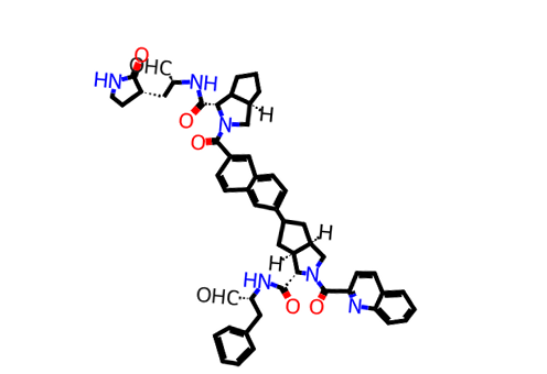 O=C[C@@H](C[C@@H]1CCNC1=O)NC(=O)[C@@H]1C2CCC[C@H]2CN1C(=O)c1ccc2cc(C3C[C@H]4CN(C(=O)c5ccc6ccccc6n5)[C@H](C(=O)N[C@@H](C=O)Cc5ccccc5)[C@H]4C3)ccc2c1